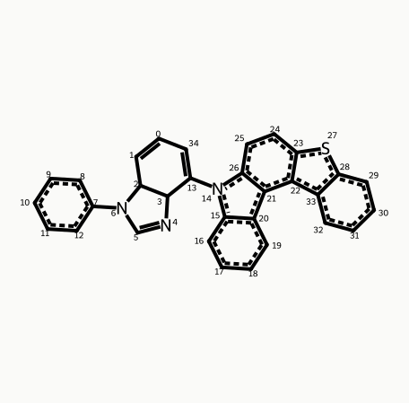 C1=CC2C(N=CN2c2ccccc2)C(n2c3ccccc3c3c4c(ccc32)sc2ccccc24)=C1